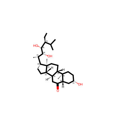 CC[C@@H](C(C)C)[C@@H](O)[C@H](O)[C@@H](C)[C@H]1CC[C@H]2[C@@H]3CC(=O)[C@H]4C[C@@H](O)CC[C@]4(C)[C@H]3CC[C@]12C